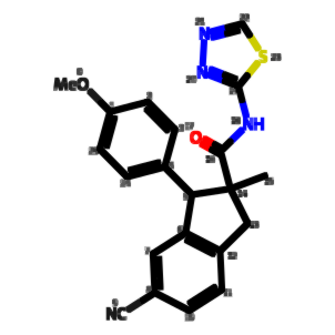 COc1ccc(C2c3cc(C#N)ccc3CC2(C)C(=O)Nc2nncs2)cc1